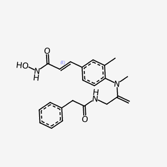 C=C(CNC(=O)Cc1ccccc1)N(C)c1ccc(/C=C/C(=O)NO)cc1C